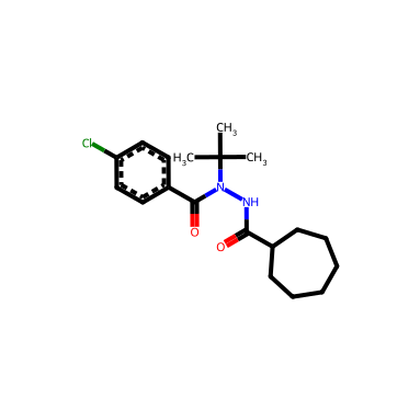 CC(C)(C)N(NC(=O)C1CCCCCC1)C(=O)c1ccc(Cl)cc1